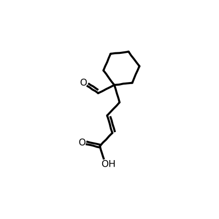 O=CC1(CC=CC(=O)O)CCCCC1